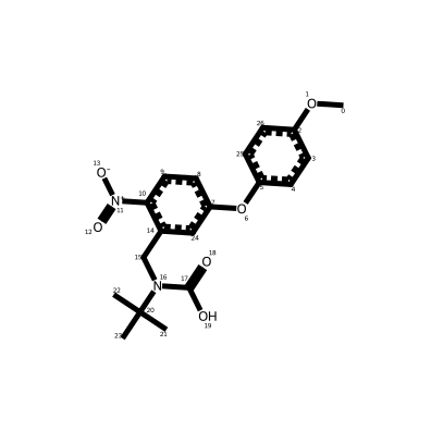 COc1ccc(Oc2ccc([N+](=O)[O-])c(CN(C(=O)O)C(C)(C)C)c2)cc1